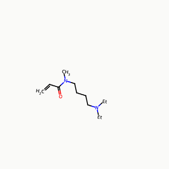 C=CC(=O)N(C)CCCCN(CC)CC